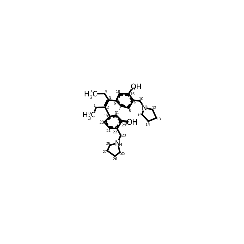 CCC(=C(CC)c1ccc(CN2CCCC2)c(O)c1)c1ccc(CN2CCCC2)c(O)c1